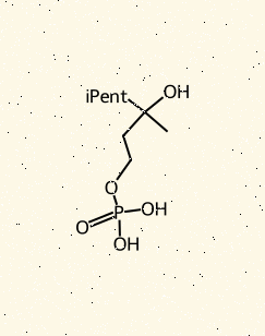 CCCC(C)C(C)(O)CCOP(=O)(O)O